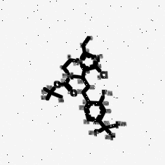 CCc1nc(Cl)c2n1CCN(C(=O)OC(C)(C)C)C2CCc1ccc(C(F)(F)F)cc1F